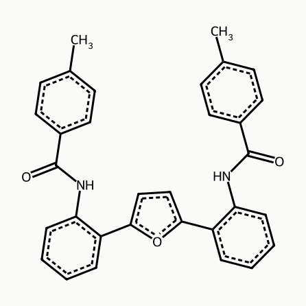 Cc1ccc(C(=O)Nc2ccccc2-c2ccc(-c3ccccc3NC(=O)c3ccc(C)cc3)o2)cc1